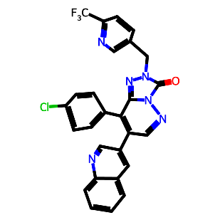 O=c1n(Cc2ccc(C(F)(F)F)nc2)nc2c(-c3ccc(Cl)cc3)c(-c3cnc4ccccc4c3)cnn12